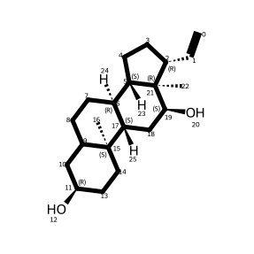 C=C[C@H]1CC[C@H]2[C@@H]3CCC4C[C@H](O)CC[C@]4(C)[C@H]3C[C@H](O)[C@]12C